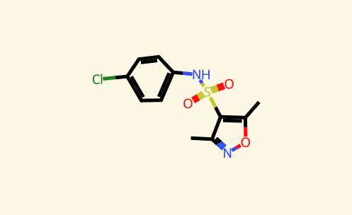 Cc1noc(C)c1S(=O)(=O)Nc1ccc(Cl)cc1